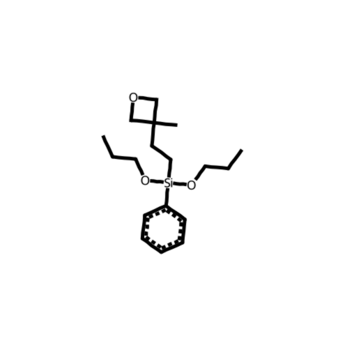 CCCO[Si](CCC1(C)COC1)(OCCC)c1ccccc1